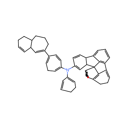 C1=CC(N(C2=CCC=C(C3=CC4C=CCCC4CCC3)C=C2)C2=CC3C(C=C2)c2cccc4c2C32C3=C(CCC=C34)c3ccccc32)=CCC1